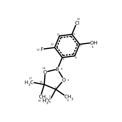 CC1(C)OB(c2cc(O)c(Cl)cc2F)OC1(C)C